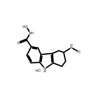 CCNC1CCc2[nH]c3ccc(C(=O)NO)cc3c2C1.Cl